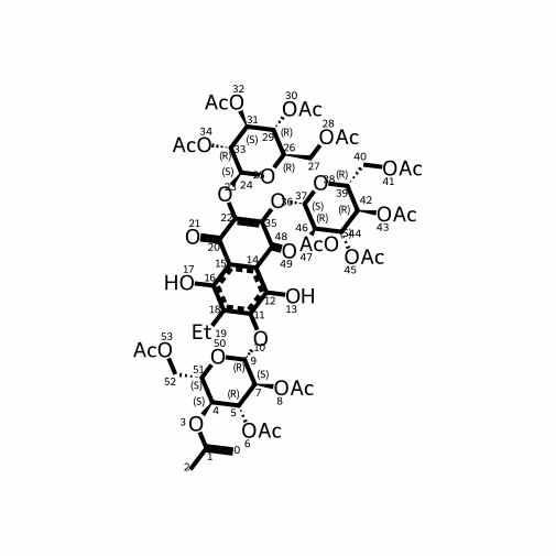 C=C(C)O[C@@H]1[C@@H](OC(C)=O)[C@H](OC(C)=O)[C@@H](Oc2c(O)c3c(c(O)c2CC)C(=O)C(O[C@@H]2O[C@H](COC(C)=O)[C@@H](OC(C)=O)[C@H](OC(C)=O)[C@H]2OC(C)=O)=C(O[C@@H]2O[C@H](COC(C)=O)[C@@H](OC(C)=O)[C@H](OC(C)=O)[C@H]2OC(C)=O)C3=O)O[C@H]1COC(C)=O